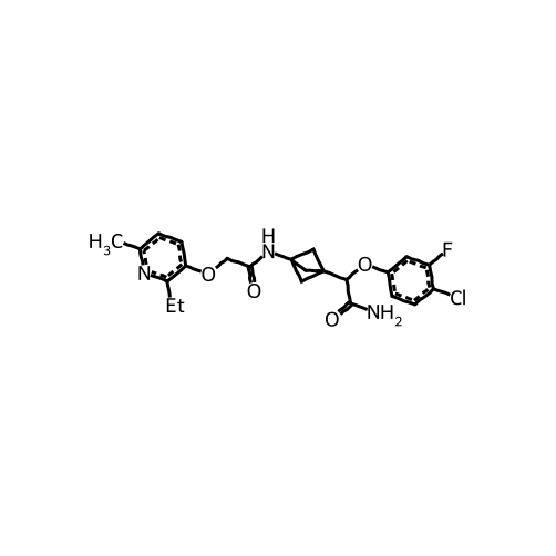 CCc1nc(C)ccc1OCC(=O)NC12CC(C(Oc3ccc(Cl)c(F)c3)C(N)=O)(C1)C2